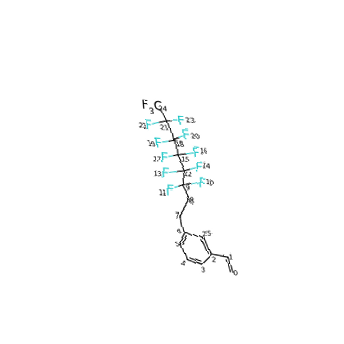 C=Cc1cccc(CCC(F)(F)C(F)(F)C(F)(F)C(F)(F)C(F)(F)C(F)(F)F)c1